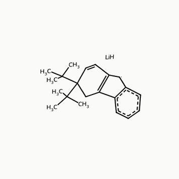 CC(C)(C)C1(C(C)(C)C)C=CC2=C(C1)c1ccccc1[CH]2.[LiH]